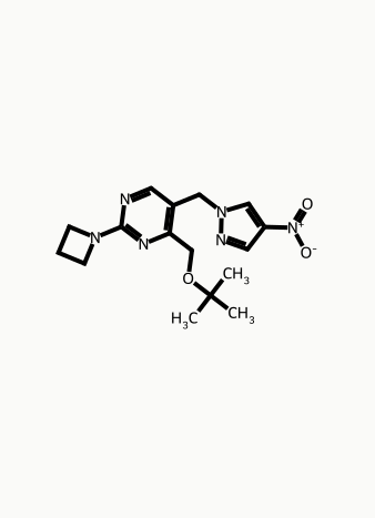 CC(C)(C)OCc1nc(N2CCC2)ncc1Cn1cc([N+](=O)[O-])cn1